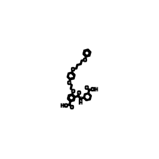 O=C(O)c1ccc(OCCOC2=CC=C(OCCCCOc3ccccc3)CC2)c(C(=O)NC2CCCC(C(=O)O)C2)c1